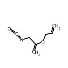 C=CCOC(=C)CN=C=O